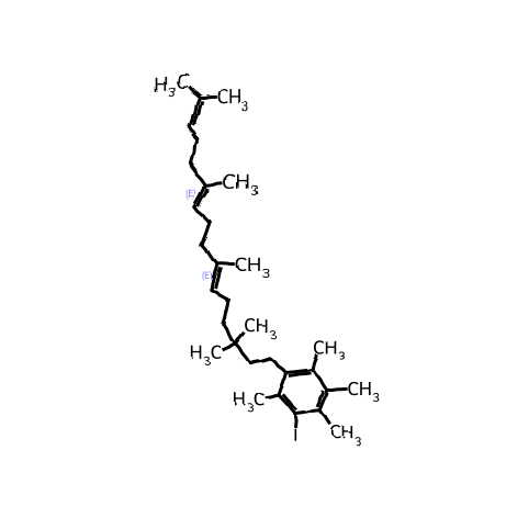 CC(C)=CCC/C(C)=C/CC/C(C)=C/CCC(C)(C)CCc1c(C)c(C)c(C)c(I)c1C